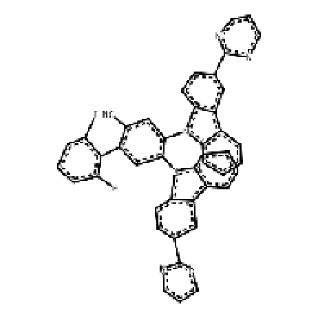 N#Cc1cc(-n2c3ccccc3c3cc(-c4ncccn4)ccc32)c(-n2c3ccccc3c3cc(-c4ncccn4)ccc32)cc1-c1c(F)cccc1F